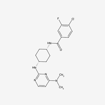 CN(C)c1ccnc(N[C@H]2CC[C@@H](NC(=O)c3ccc(Cl)c(F)c3)CC2)n1